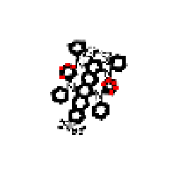 C[Si](C)(C)c1cc2cc3c(N(c4ccccc4)c4ccccc4)c4cc5c(N(c6ccccc6)c6ccccc6)c([Si](C)(C)C)c([Si](C)(C)C)c(N(c6ccccc6)c6ccccc6)c5cc4c(N(c4ccccc4)c4ccccc4)c3cc2cc1[Si](C)(C)C